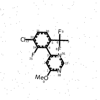 COc1cc(-c2c(C(C)(F)F)ccc(Cl)c2F)ncn1